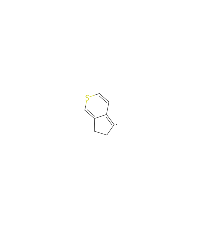 [C]1=C2C=CSC=C2CC1